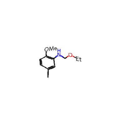 CCOCNc1cc(C)ccc1OC